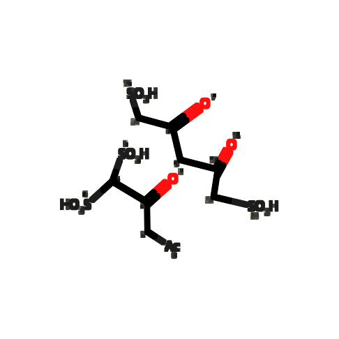 CC(=O)CC(=O)C(S(=O)(=O)O)S(=O)(=O)O.O=C(CC(=O)CS(=O)(=O)O)CS(=O)(=O)O